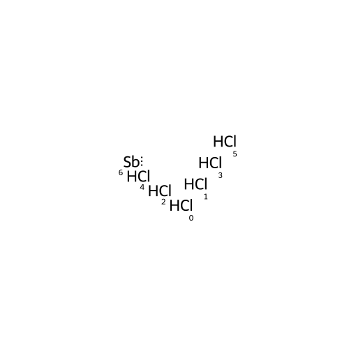 Cl.Cl.Cl.Cl.Cl.Cl.[Sb]